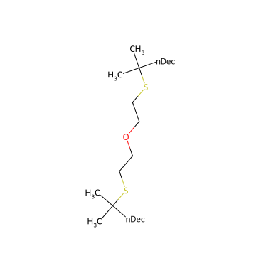 CCCCCCCCCCC(C)(C)SCCOCCSC(C)(C)CCCCCCCCCC